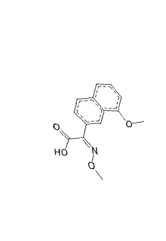 CON=C(C(=O)O)c1ccc2cccc(OC)c2c1